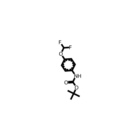 CC(C)(C)OC(=O)Nc1ccc(OC(F)F)cc1